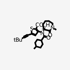 CC1CCC(C(=O)N(c2cc(C#CC(C)(C)C)sc2C(=O)O)[C@H]2CCCCN(C)C2=O)CC1